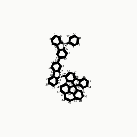 c1ccc(-n2c3ccccc3c3cc(-c4ccc5c6ccccc6n(-c6ccc7c(c6)C6(c8ccccc8-7)c7cccc8ccc9cccc6c9c78)c5c4)ccc32)cc1